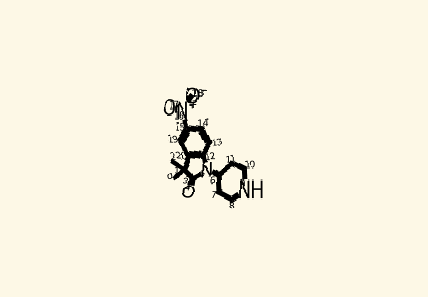 CC1(C)C(=O)N(C2CCNCC2)c2ccc([N+](=O)[O-])cc21